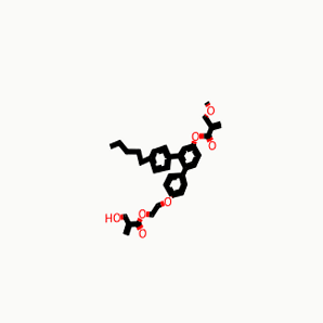 C=C(CO)C(=O)OCCOc1ccc(-c2ccc(OC(=O)C(=C)COC)cc2-c2ccc(CCCCC)cc2)cc1